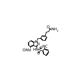 COc1cccc2c1c(NS(=O)(=O)c1ccccc1C#N)nn2Cc1cccc(CCC(N)=O)c1